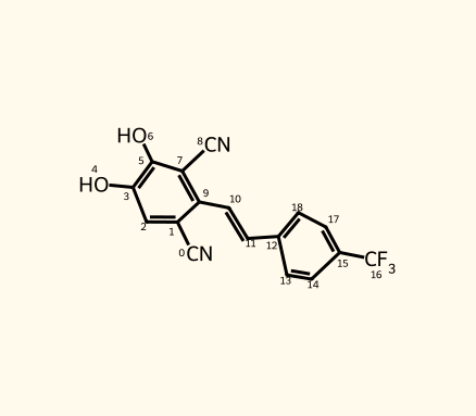 N#Cc1cc(O)c(O)c(C#N)c1/C=C/c1ccc(C(F)(F)F)cc1